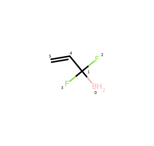 BC(F)(F)C=C